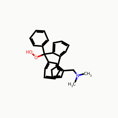 CN(C)CC1=C(c2ccccc2C(OO)(c2ccccc2)c2ccccc2)CC=C1